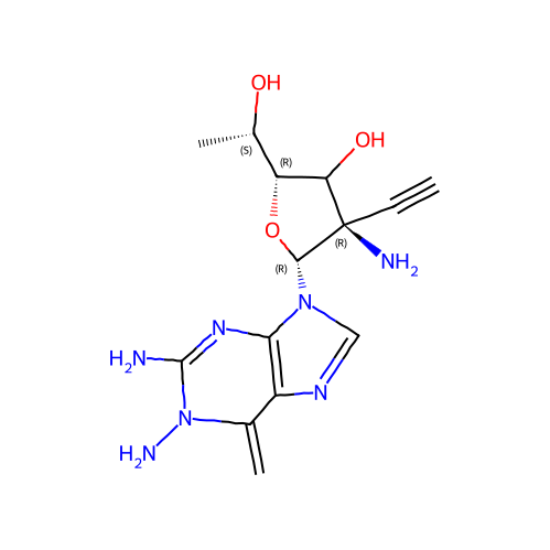 C#C[C@@]1(N)C(O)[C@@H]([C@H](C)O)O[C@H]1n1cnc2c1N=C(N)N(N)C2=C